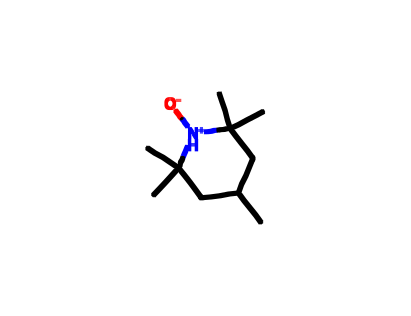 CC1CC(C)(C)[NH+]([O-])C(C)(C)C1